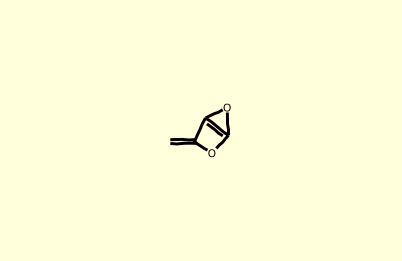 C=C1OC2=C1O2